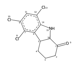 O=C1CCCC2c3c(Cl)c(Cl)cc(Cl)c3NC12